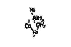 O.[AlH3].[Fe][Co].[Ni]